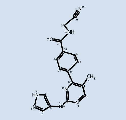 Cc1cnc(Nc2cn[nH]c2)nc1-c1ccc(C(=O)NCC#N)cc1